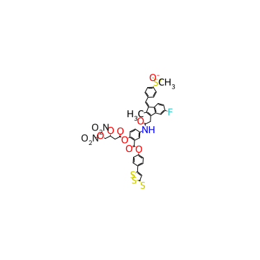 CC1=C(CC(=O)Nc2ccc(OC(=O)CC(CO[N+](=O)[O-])O[N+](=O)[O-])c(C(=O)Oc3ccc(-c4cc(=S)ss4)cc3)c2)c2cc(F)ccc2/C1=C\c1ccc([S+](C)[O-])cc1